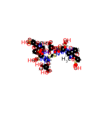 Cn1c(=O)c(C(=O)c2cccc(SOOO)c2)c2c3c(c(Nc4cc(Nc5nc(Oc6cc(C(=O)O)cc(C(=O)O)c6)nc(SCCSc6nc(Nc7cc(Nc8ccc9c%10c8C(=O)c8ccccc8-c%10c(C(=O)c8cccc(S(=O)(=O)O)c8)c(=O)n9C)c(S(=O)(=O)O)cc7SOOO)nc(Oc7cc(C(=O)O)cc(C(=O)O)c7)n6)n5)c(S(=O)(=O)O)cc4SOOO)ccc31)C(=O)c1ccccc1-2